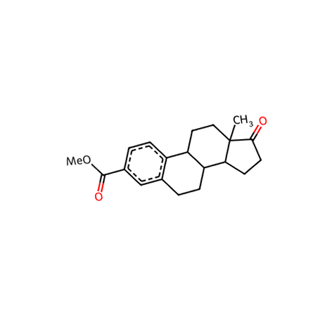 COC(=O)c1ccc2c(c1)CCC1C2CCC2(C)C(=O)CCC12